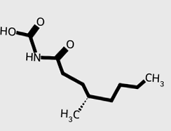 CCCC[C@H](C)CCC(=O)NC(=O)O